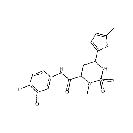 Cc1ccc(C2CC(C(=O)Nc3ccc(F)c(Cl)c3)N(C)S(=O)(=O)N2)s1